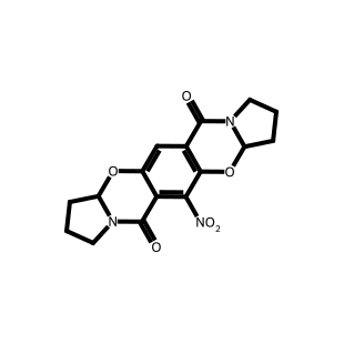 O=C1c2cc3c(c([N+](=O)[O-])c2OC2CCCN12)C(=O)N1CCCC1O3